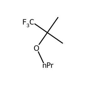 CCCOC(C)(C)C(F)(F)F